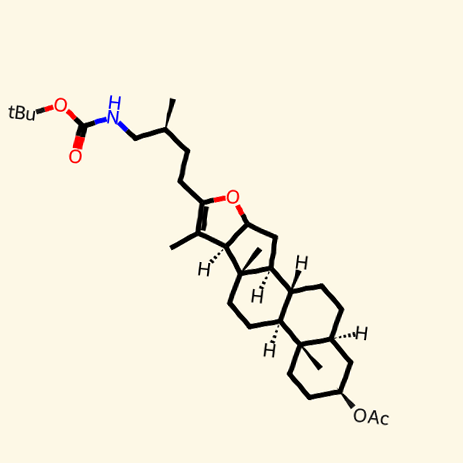 CC(=O)O[C@H]1CC[C@@]2(C)[C@@H](CC[C@@H]3[C@@H]2CC[C@]2(C)[C@H]4C(C)=C(CC[C@H](C)CNC(=O)OC(C)(C)C)OC4C[C@@H]32)C1